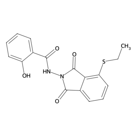 CCSc1cccc2c1C(=O)N(NC(=O)c1ccccc1O)C2=O